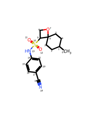 CC1CCC2(CC1)OCC2S(=O)(=O)Nc1ccc(C#N)cc1